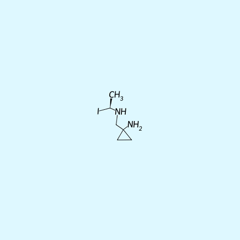 C[C@H](I)NCC1(N)CC1